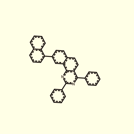 c1ccc(-c2nc(-c3ccccc3)c3ccc4ccc(-c5cccc6ccccc56)cc4c3n2)cc1